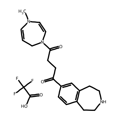 CN1C=CCN(C(=O)CCC(=O)c2ccc3c(c2)CCNCC3)C=C1.O=C(O)C(F)(F)F